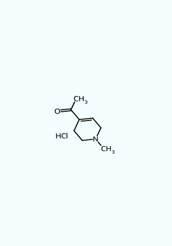 CC(=O)C1=CCN(C)CC1.Cl